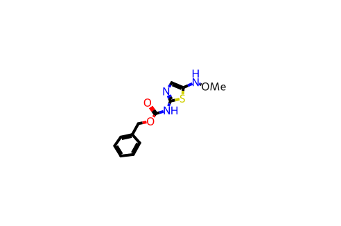 CONc1cnc(NC(=O)OCc2ccccc2)s1